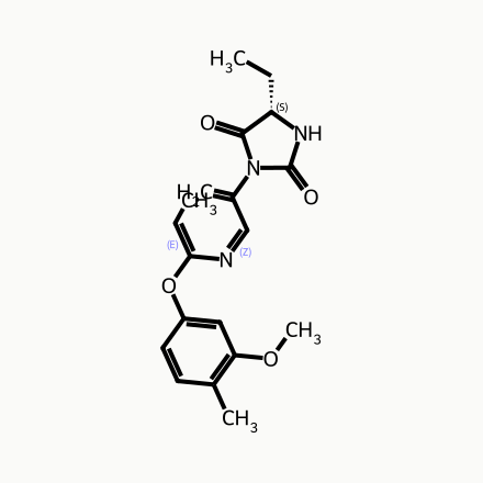 C=C(/C=N\C(=C/C)Oc1ccc(C)c(OC)c1)N1C(=O)N[C@@H](CC)C1=O